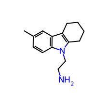 Cc1ccc2c(c1)c1c(n2CCN)CCCC1